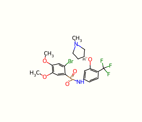 COc1cc(Br)c(S(=O)(=O)Nc2ccc(C(F)(F)F)c(O[C@@H]3CCN(C)C3)c2)cc1OC